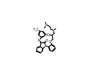 CN(C)CCN(C)CC(O)COc1ccccc1N1C(=O)C(=Nc2cccc(C(F)(F)F)c2)c2ccccc21